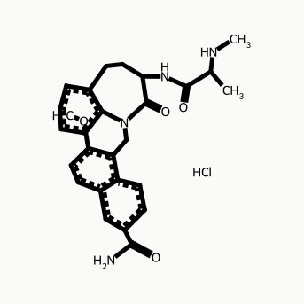 CNC(C)C(=O)NC1CCc2ccccc2N(Cc2c(OC)ccc3cc(C(N)=O)ccc23)C1=O.Cl